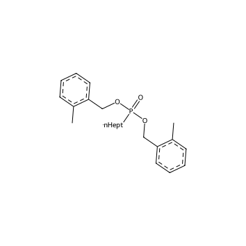 CCCCCC[CH]P(=O)(OCc1ccccc1C)OCc1ccccc1C